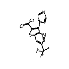 O=C(Cl)c1sc2cc(C(F)(F)F)cnc2c1-c1ccncc1